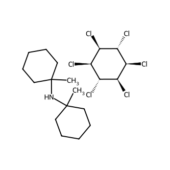 CC1(NC2(C)CCCCC2)CCCCC1.Cl[C@H]1[C@H](Cl)[C@@H](Cl)[C@@H](Cl)[C@H](Cl)[C@H]1Cl